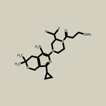 COCCC(=O)N1CCN(c2nc(C3CC3)c3c(c2N)CC(C)(C)OC3)CC1C(F)F